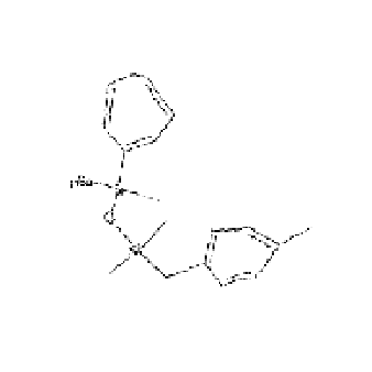 CCCC[Si](C)(O[Si](C)(C)Cc1ccc(C)cc1)c1ccccc1